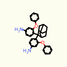 Nc1ccc(C2(c3ccc(N)cc3Oc3ccccc3)C3CC4CC(C3)CC2C4)c(Oc2ccccc2)c1